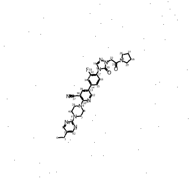 CCc1cnc(N2CCN(c3ncc(-c4ccc(-n5cnn(CC(=O)N6CCCC6)c5=O)c(F)c4)cc3C#N)CC2)nc1